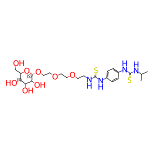 CC(C)NC(=S)Nc1ccc(NC(=S)NCCOCCOCCO[C@H]2OC(CO)[C@@H](O)C(O)C2O)cc1